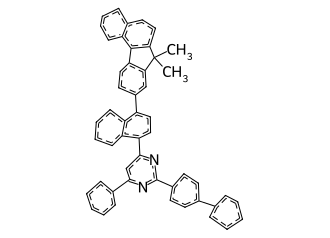 CC1(C)c2cc(-c3ccc(-c4cc(-c5ccccc5)nc(-c5ccc(-c6ccccc6)cc5)n4)c4ccccc34)ccc2-c2c1ccc1ccccc21